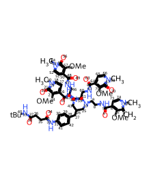 C=C1C(OC)=C(C(=O)NCCN(CCNC(=O)c2ccn(C)c(=O)c2OC)CC(Cc2ccc(NC(=O)CCC(=O)NC(C)(C)C)cc2)CN(CCNC(=O)c2ccn(C)c(=O)c2OC)CCNC(=O)c2ccn(C)c(=O)c2OC)C=CN1C